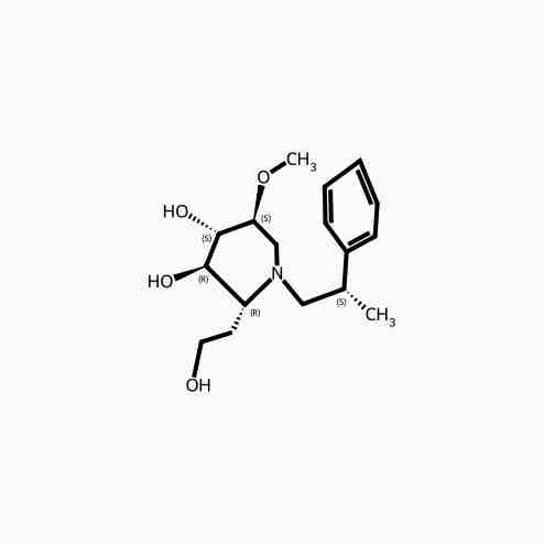 CO[C@H]1CN(C[C@@H](C)c2ccccc2)[C@H](CCO)[C@@H](O)[C@@H]1O